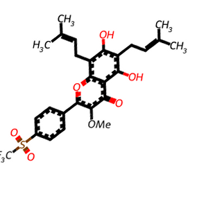 COc1c(-c2ccc(S(=O)(=O)C(F)(F)F)cc2)oc2c(CC=C(C)C)c(O)c(CC=C(C)C)c(O)c2c1=O